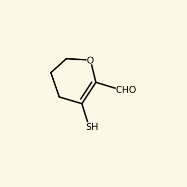 O=CC1=C(S)CCCO1